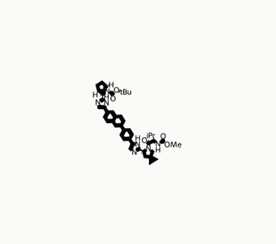 COC(=O)N[C@H](C(=O)N1CC2(CC2)C[C@H]1c1ncc(-c2ccc(-c3ccc4cc(-c5cnc([C@@H]6[C@H]7CC[C@H](C7)N6C(=O)OC(C)(C)C)[nH]5)ccc4c3)cc2)[nH]1)C(C)C